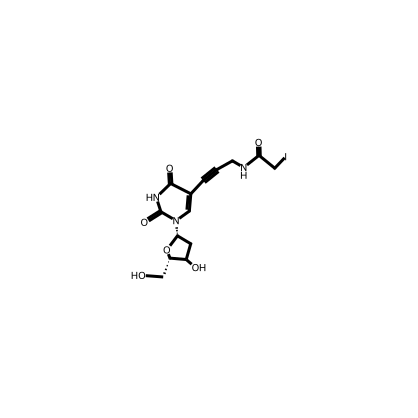 O=C(CI)NCC#Cc1cn([C@@H]2CC(O)[C@H](CO)O2)c(=O)[nH]c1=O